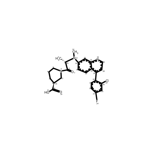 C[C@@H](C(=O)N1CCC[C@H](C(=O)O)C1)N(C)c1ccc2c(-c3ccc(F)cc3Cl)ccnc2c1